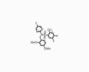 COc1ccc(CN(c2ncc(F)cn2)S(=O)(=O)c2cc(F)c(F)cc2C)c(OC)c1